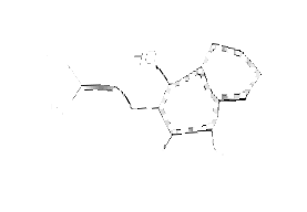 CC(C)=CCc1c(C)c(O)c2ccccc2c1O